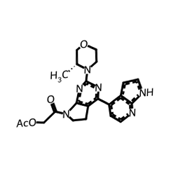 CC(=O)OCC(=O)N1CCc2c(-c3ccnc4[nH]ccc34)nc(N3CCOC[C@H]3C)nc21